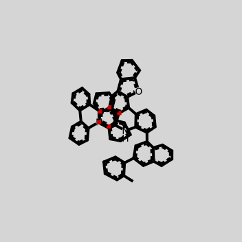 Cc1ccccc1-c1cc(-c2cccc(-c3cccc4c3oc3ccccc34)c2Nc2ccc(-c3ccccc3-c3ccccc3-n3c4ccccc4c4ccccc43)cc2)c2ccccc2c1